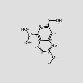 COc1cnc2c(B(O)O)cc(CO)cc2n1